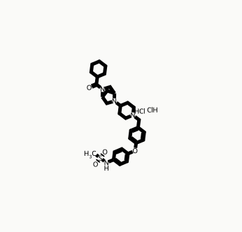 CS(=O)(=O)Nc1ccc(Oc2ccc(CN3CCC(N4CC5CC4CN5C(=O)C4CCCCC4)CC3)cc2)cc1.Cl.Cl